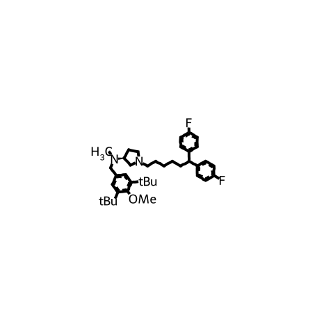 COc1c(C(C)(C)C)cc(CN(C)[C@H]2CCN(CCCCCC(c3ccc(F)cc3)c3ccc(F)cc3)C2)cc1C(C)(C)C